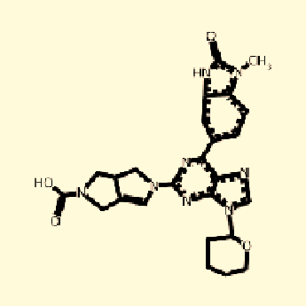 Cn1c(=O)[nH]c2cc(-c3nc(N4C=C5CN(C(=O)O)CC5C4)nc4c3ncn4C3CCCCO3)ccc21